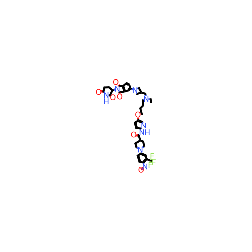 CCN(CCCCOc1ccc(NC(=O)C2CCN(c3ccc(N=O)c(C(F)(F)F)c3)CC2)nc1)CC1CN(c2ccc3c(c2)C(=O)N(C2CCC(=O)NC2=O)C3=O)C1